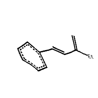 C=C(C=Cc1ccccc1)CC